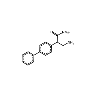 CNC(=O)C(CN)c1ccc(-c2ccccc2)cc1